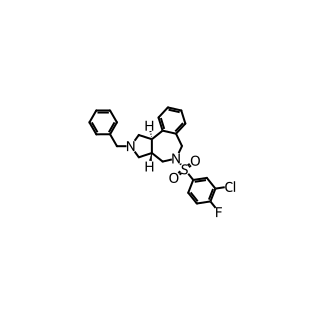 O=S(=O)(c1ccc(F)c(Cl)c1)N1Cc2ccccc2[C@@H]2CN(Cc3ccccc3)C[C@H]2C1